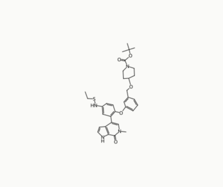 CCSNc1ccc(Oc2cccc(COC3CCN(C(=O)OC(C)(C)C)CC3)c2)c(-c2cn(C)c(=O)c3[nH]ccc23)c1